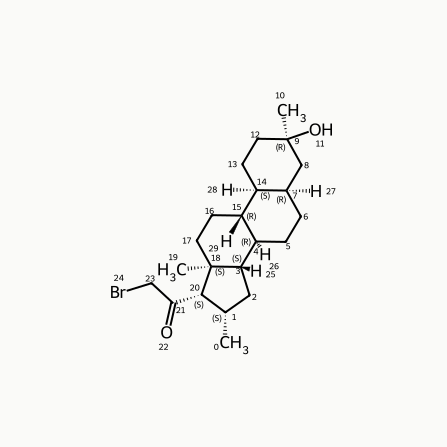 C[C@H]1C[C@H]2[C@@H]3CC[C@@H]4C[C@](C)(O)CC[C@@H]4[C@H]3CC[C@]2(C)[C@H]1C(=O)CBr